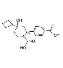 COC(=O)c1ccc([C@@H]2CC(O)(C3CCC3)CCN2C(=O)O)cc1